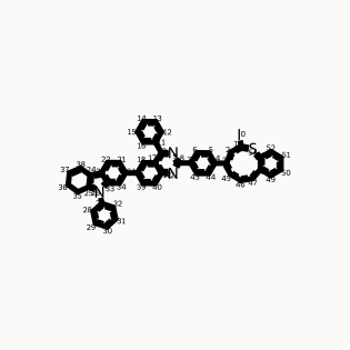 Ic1cc(-c2ccc(-c3nc(-c4ccccc4)c4cc(-c5ccc6c7c(n(-c8ccccc8)c6c5)CCC=C7)ccc4n3)cc2)cccc2ccccc2s1